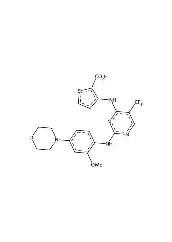 COc1cc(N2CCOCC2)ccc1Nc1ncc(C(F)(F)F)c(Nc2ccsc2C(=O)O)n1